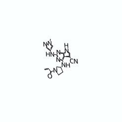 C=CC(=O)N1CC[C@@H](Nc2nc(Nc3cnn(C)c3)nc3[nH]cc(C#N)c23)C1